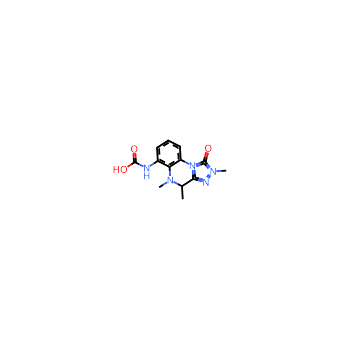 CC1c2nn(C)c(=O)n2-c2cccc(NC(=O)O)c2N1C